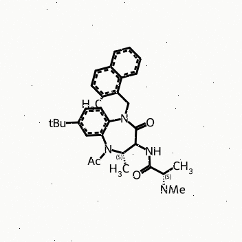 CN[C@@H](C)C(=O)NC1C(=O)N(Cc2c(C)ccc3ccccc23)c2ccc(C(C)(C)C)cc2N(C(C)=O)[C@H]1C